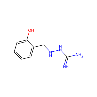 N=C(N)NNCc1ccccc1O